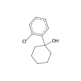 OC1(c2ccccc2Cl)CCCCC1